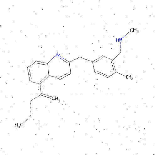 C=C(CCC)c1cccc2nc(Cc3ccc(C)c(CNC)c3)ccc12